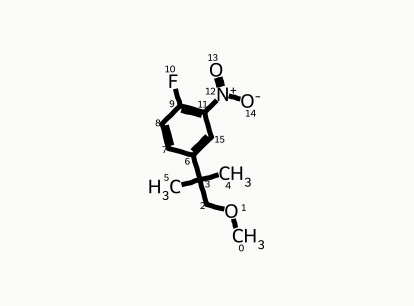 COCC(C)(C)c1ccc(F)c([N+](=O)[O-])c1